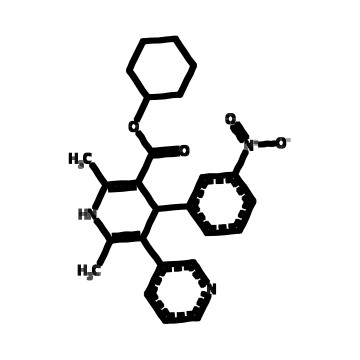 CC1=C(C(=O)OC2CCCCC2)C(c2cccc([N+](=O)[O-])c2)C(c2cccnc2)=C(C)N1